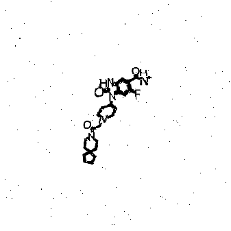 CNC(=O)c1cc2[nH]c(=O)n(C3CCN(CC(=O)N4CCC5(CCCC5)CC4)CC3)c2cc1F